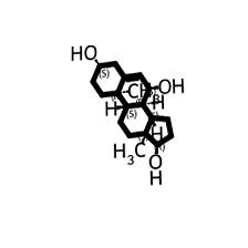 C[C@]12CC[C@H]3[C@@H]([C@H](O)C=C4C[C@@H](O)CC[C@@]43C)[C@@H]1CC[C@H]2O